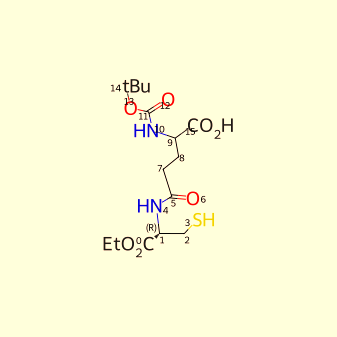 CCOC(=O)[C@H](CS)NC(=O)CCC(NC(=O)OC(C)(C)C)C(=O)O